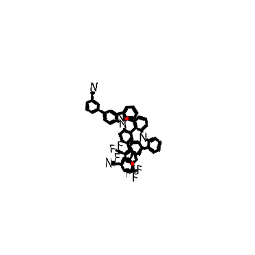 N#Cc1cccc(-c2ccc3c(c2)c2ccccc2n3-c2ccc(-c3ccc(C(F)(F)F)cc3C(F)(F)F)cc2-c2c(C#N)cccc2-n2c3ccccc3c3cc(-c4cccc(C#N)c4)ccc32)c1